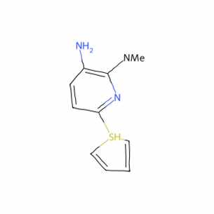 CNc1nc([SH]2C=CC=C2)ccc1N